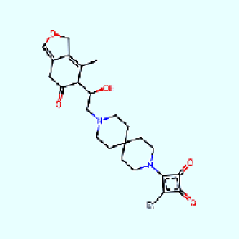 CCc1c(N2CCC3(CCN(C[C@H](O)C4C(=O)CC5=COCC5=C4C)CC3)CC2)c(=O)c1=O